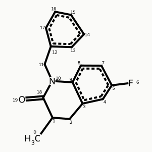 CC1Cc2cc(F)ccc2N(Cc2ccccc2)C1=O